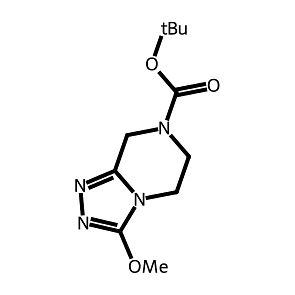 COc1nnc2n1CCN(C(=O)OC(C)(C)C)C2